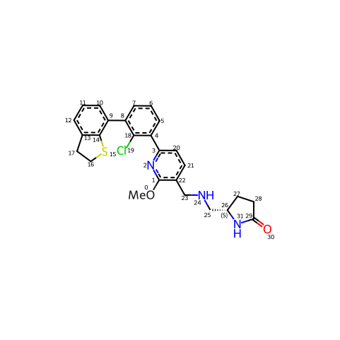 COc1nc(-c2cccc(-c3cccc4c3SCC4)c2Cl)ccc1CNC[C@@H]1CCC(=O)N1